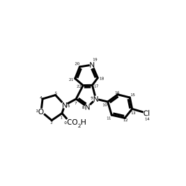 O=C(O)C1COCCN1c1nn(-c2ccc(Cl)cc2)c2cnccc12